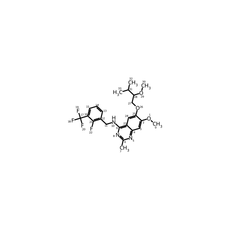 COc1cc2nc(C)nc(NCc3cccc(C(F)(F)F)c3F)c2cc1OCC(OC)C(C)C